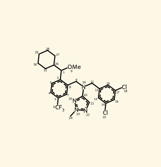 COC(c1ccc(C(F)(F)F)cc1CN(Cc1cc(Cl)cc(Cl)c1)c1cnn(C)n1)C1CCCCC1